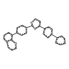 c1ccc(-c2ccc(-c3ccnc(-c4ccc(-c5cccc6cccnc56)cc4)n3)cc2)cc1